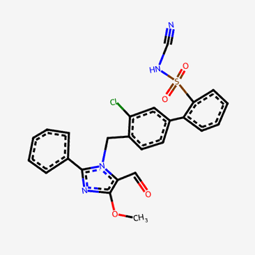 COc1nc(-c2ccccc2)n(Cc2ccc(-c3ccccc3S(=O)(=O)NC#N)cc2Cl)c1C=O